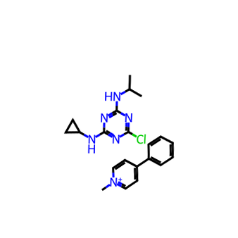 CC(C)Nc1nc(Cl)nc(NC2CC2)n1.C[n+]1ccc(-c2ccccc2)cc1